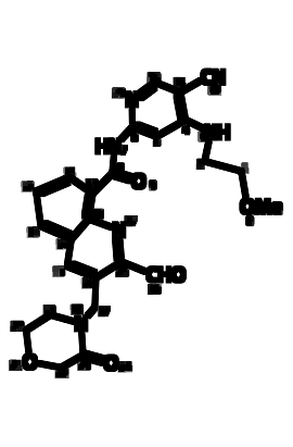 COCCNc1cc(NC(=O)c2cccc3cc(CN4CCOCC4=O)c(C=O)nc23)ncc1C#N